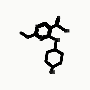 CSc1ncc(C(=O)O)c(NC2CCC(O)CC2)n1